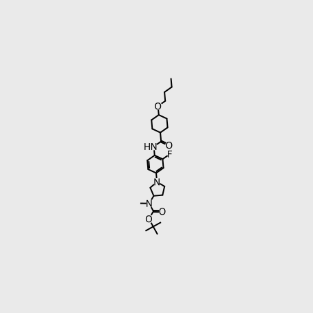 CCCCOC1CCC(C(=O)Nc2ccc(N3CCC(N(C)C(=O)OC(C)(C)C)C3)cc2F)CC1